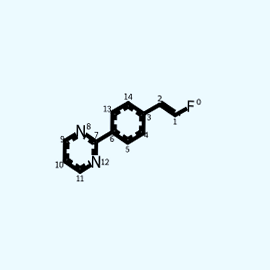 F/[C]=C/c1ccc(-c2ncccn2)cc1